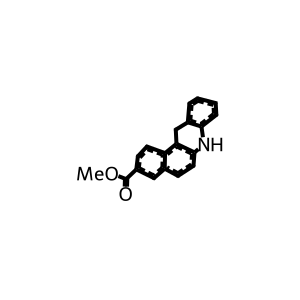 COC(=O)c1ccc2c3c(ccc2c1)Nc1ccccc1C3